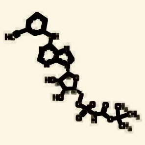 C#Cc1cccc(Nc2ncnc3c2ncn3[C@@H]2O[C@H](COS(=O)(=O)NC(=O)OC(C)(C)C)[C@@H](O)[C@H]2O)c1